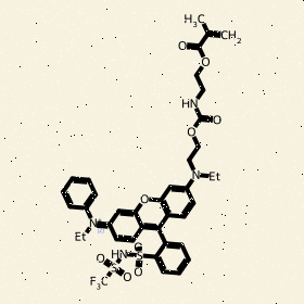 C=C(C)C(=O)OCCNC(=O)OCCN(CC)c1ccc2c(-c3ccccc3S(=O)(=O)NS(=O)(=O)C(F)(F)F)c3cc/c(=[N+](\CC)c4ccccc4)cc-3oc2c1